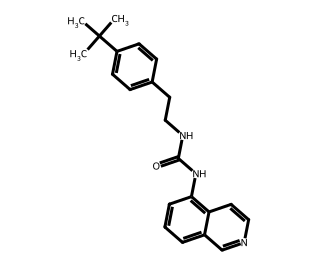 CC(C)(C)c1ccc(CCNC(=O)Nc2cccc3cnccc23)cc1